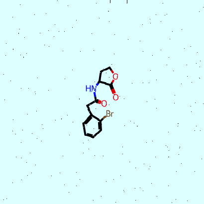 O=C(Cc1ccccc1Br)NC1CCOC1=O